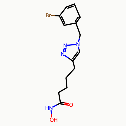 O=C(CCCCc1cn(Cc2cccc(Br)c2)nn1)NO